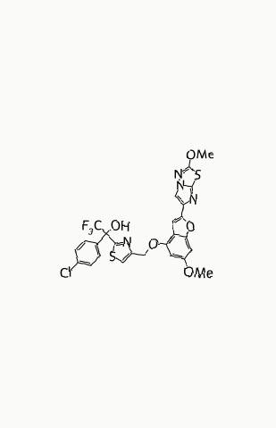 COc1cc(OCc2csc(C(O)(c3ccc(Cl)cc3)C(F)(F)F)n2)c2cc(-c3cn4nc(OC)sc4n3)oc2c1